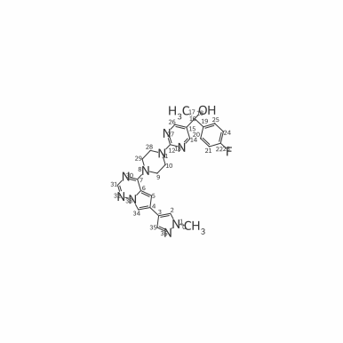 Cn1cc(-c2cc3c(N4CCN(c5ncc([C@@](C)(O)c6ccc(F)cc6)cn5)CC4)ncnn3c2)cn1